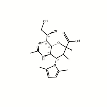 CC(=O)N[C@H]1[C@H]([C@H](O)[C@H](O)CO)OC(F)(C(=O)O)C(F)[C@@H]1n1c(C)ccc1C